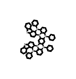 c1ccc(N2c3cc4c(cc3B3c5ccc6sc7ccccc7c6c5N(c5ccccc5)c5cccc2c53)B2c3ccc5sc6ccccc6c5c3N(c3ccccc3)c3cccc(c32)N4c2ccccc2)cc1